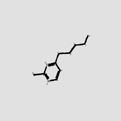 CCCCCc1ccnc(C)n1